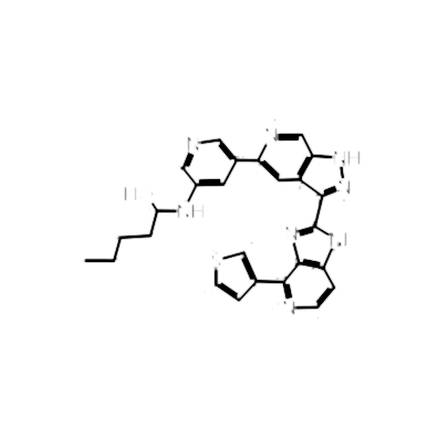 CCCCC(O)Nc1cncc(-c2cc3c(-c4nc5c(-c6ccsc6)nccc5[nH]4)n[nH]c3cn2)c1